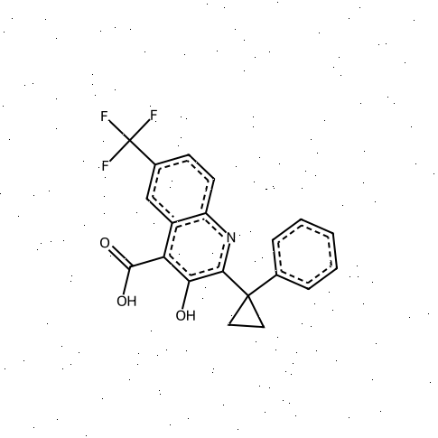 O=C(O)c1c(O)c(C2(c3ccccc3)CC2)nc2ccc(C(F)(F)F)cc12